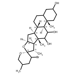 CC1CO[C@@]2(O[C@H]3C[C@H]4[C@@H]5CCC6CC(O)CC[C@]6(C)[C@H]5C(O)C(O)[C@]4(C)[C@H]3[C@@H]2C)C(Br)C1